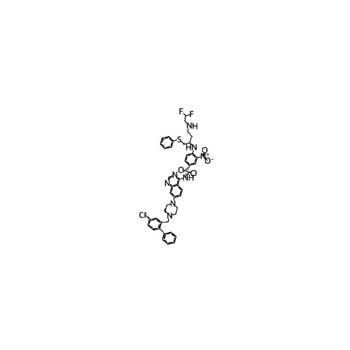 O=[N+]([O-])c1cc(S(=O)(=O)Nc2ncnc3cc(N4CCN(Cc5cc(Cl)ccc5-c5ccccc5)CC4)ccc23)ccc1NC(CCNCC(F)F)CSc1ccccc1